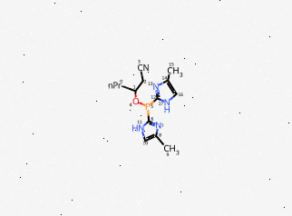 CCCC(CC#N)OP(c1nc(C)c[nH]1)c1nc(C)c[nH]1